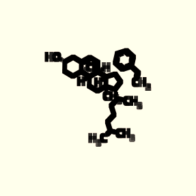 C=Cc1ccccc1.CC(C)CCCC(C)[C@H]1CC[C@H]2[C@@H]3CC=C4C[C@@H](O)CC[C@]4(C)[C@H]3CC[C@]12C